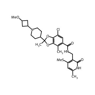 COC1CC(N2CCC(C3(C)Oc4c(Cl)cc(C(=O)NCc5c(SC)cc(C)[nH]c5=O)c(C)c4O3)CC2)C1